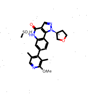 COc1ncc(C)c(-c2ccc3c(c2)[nH]c(=O)c2cnn([C@H]4CCOC4)c23)c1C.CS(=O)(=O)O